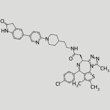 Cc1sc2c(c1C)C(c1ccc(Cl)cc1)=N[C@@H](CC(=O)NCCC1CCN(c3ccc(-c4ccc5c(c4)CC(=O)N5)cn3)CC1)c1nnc(C)n1-2